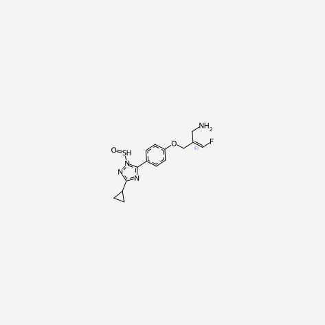 NC/C(=C\F)COc1ccc(-c2nc(C3CC3)nn2[SH]=O)cc1